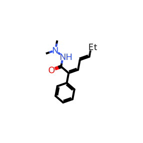 CCC=CC=C(C(=O)NN(C)C)c1ccccc1